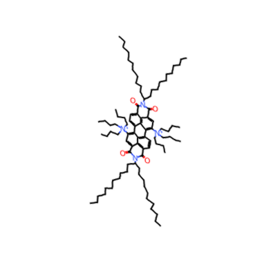 CCCCCCCCCCCC(CCCCCCCCCCC)N1C(=O)c2ccc3c4c([N+](CCCC)(CCCC)CCCC)cc5c6c(ccc(c7c([N+](CCCC)(CCCC)CCCC)cc(c2c37)C1=O)c64)C(=O)N(C(CCCCCCCCCCC)CCCCCCCCCCC)C5=O